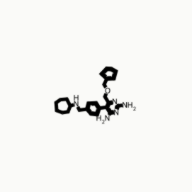 Nc1nc(N)c(-c2ccc(CNC3CCCCCC3)cc2)c(COCc2ccccc2)n1